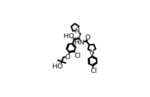 CC(C)(O)COc1ccc([C@@H](O)[C@@H](CN2CCCC2)NC(=O)C2CCN(c3ccc(Cl)cc3)C2)cc1Cl